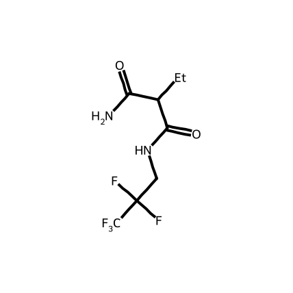 CCC(C(N)=O)C(=O)NCC(F)(F)C(F)(F)F